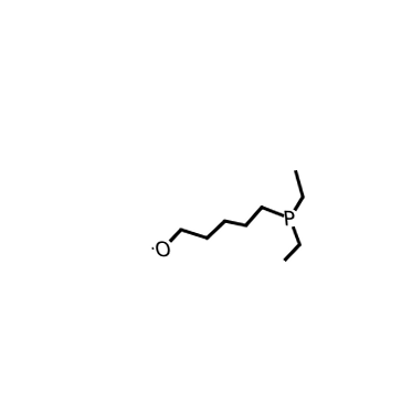 CCP(CC)CCCCC[O]